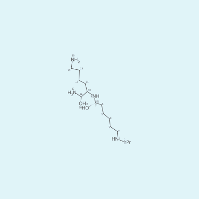 CCCNCCCCC[C@H](O)NC(CCCCN)C(N)O